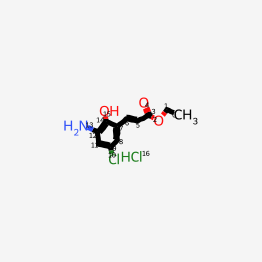 CCOC(=O)C=Cc1cc(Cl)cc(N)c1O.Cl